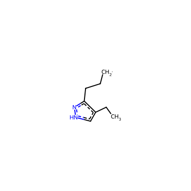 [CH2]CCc1n[nH]cc1CC